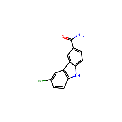 NC(=O)c1ccc2[nH]c3ccc(Br)cc3c2c1